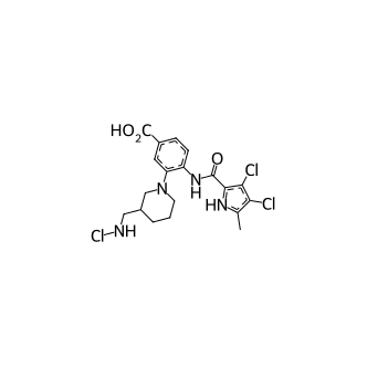 Cc1[nH]c(C(=O)Nc2ccc(C(=O)O)cc2N2CCCC(CNCl)C2)c(Cl)c1Cl